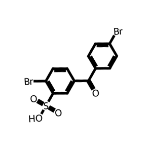 O=C(c1ccc(Br)cc1)c1ccc(Br)c(S(=O)(=O)O)c1